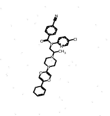 CC(CN(C(=O)c1ccc(C#N)cc1)c1ccc(Cl)cn1)N1CCN(C2=COC(C3=CC=CCC3)=CO2)CC1